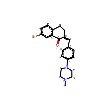 CN1CCN(c2ccc(C=C3CCc4ccc(Br)cc4C3=O)cc2)CC1